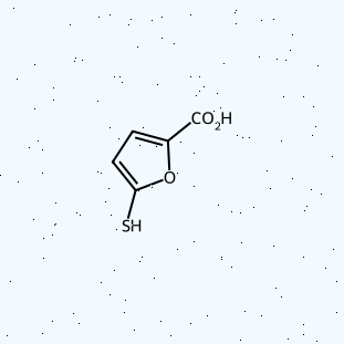 O=C(O)c1ccc(S)o1